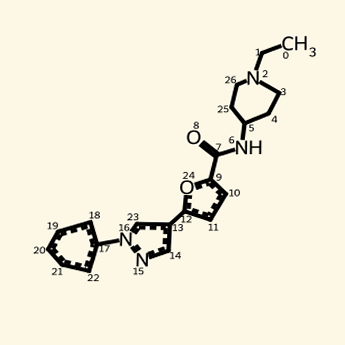 CCN1CCC(NC(=O)c2ccc(-c3cnn(-c4ccccc4)c3)o2)CC1